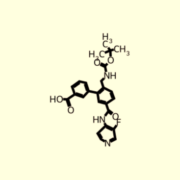 CC(C)(C)OC(=O)NCc1ccc(C(=O)Nc2ccncc2F)cc1-c1cccc(C(=O)O)c1